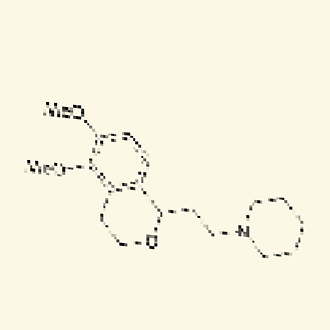 COc1ccc2c(c1OC)CCOC2CCN1CCCCC1